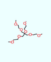 COCCOCC(COCCOC)(COCCOC)OCCOC